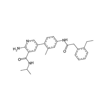 CCc1ccccc1CC(=O)Nc1ccc(-c2cnc(N)c(C(=O)NC(C)C)c2)c(C)c1